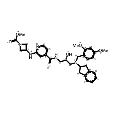 COC(=O)N1CC(Nc2cc(C(=O)NC[C@@H](O)CN(Cc3ccc(OC)cc3OC)C3Cc4ccccc4C3)ccn2)C1